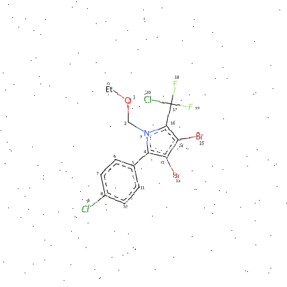 CCOCn1c(-c2ccc(Cl)cc2)c(Br)c(Br)c1C(F)(F)Cl